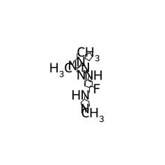 CCC1CN(C)c2cnc(Nc3ccc(CNC4CCN(C)CC4)c(F)c3)nc2N1C1CCCC1